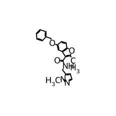 Cc1oc2ccc(OCc3ccccc3)cc2c1C(=O)NCc1ccnn1C